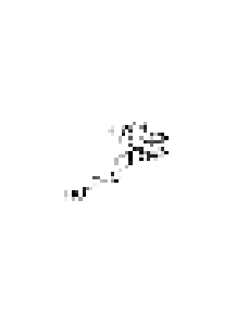 CC1(C)CC(=C(C#N)C#N)C(C#N)=C(N2CCC(OCCOCCO)CC2)C1